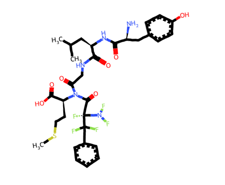 CSCC[C@@H](C(=O)O)N(C(=O)CNC(=O)[C@@H](CC(C)C)NC(=O)[C@@H](N)Cc1ccc(O)cc1)C(=O)[C@@](F)(N(F)F)C(F)(F)c1ccccc1